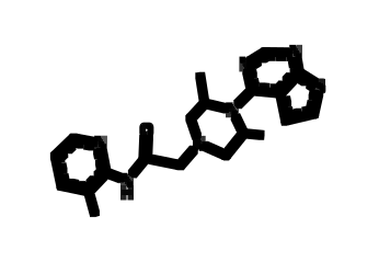 Cc1cccnc1NC(=O)CN1CC(C)N(c2ncnc3sccc23)C(C)C1